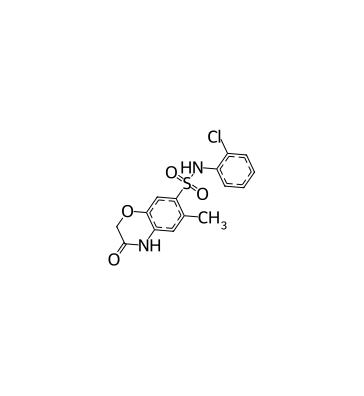 Cc1cc2c(cc1S(=O)(=O)Nc1ccccc1Cl)OCC(=O)N2